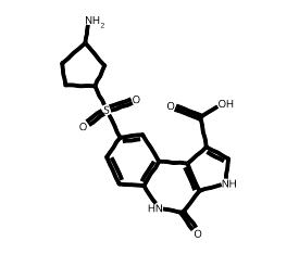 NC1CCC(S(=O)(=O)c2ccc3[nH]c(=O)c4[nH]cc(C(=O)O)c4c3c2)C1